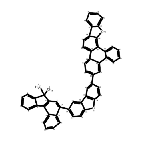 CC1(C)c2ccccc2-c2c1cc(-c1ccc3oc4ccc(-c5ccc6c(c5)c5ccccc5c5c6ccc6c7ccccc7oc65)cc4c3c1)c1ccccc21